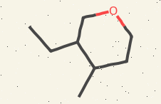 CCC1COCCC1C